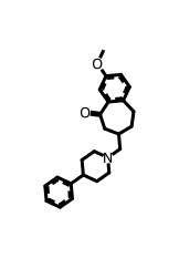 COc1ccc2c(c1)C(=O)CC(CN1CCC(c3ccccc3)CC1)CC2